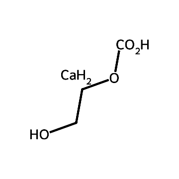 O=C(O)OCCO.[CaH2]